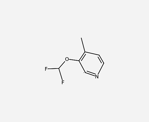 Cc1ccn[c]c1OC(F)F